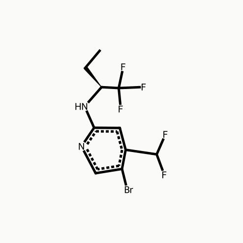 CC[C@H](Nc1cc(C(F)F)c(Br)cn1)C(F)(F)F